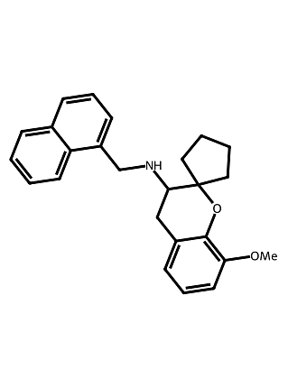 COc1cccc2c1OC1(CCCC1)C(NCc1cccc3ccccc13)C2